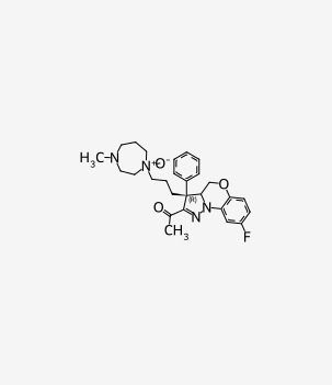 CC(=O)C1=NN2c3cc(F)ccc3OCC2[C@@]1(CCC[N+]1([O-])CCCN(C)CC1)c1ccccc1